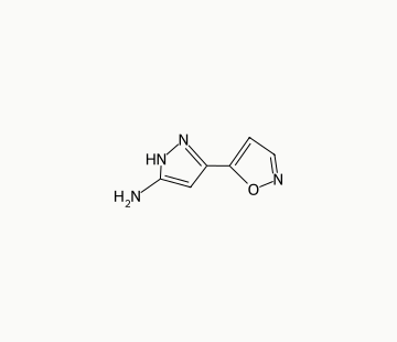 Nc1cc(-c2ccno2)n[nH]1